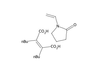 C=CN1CCCC1=O.CCCC/C(C(=O)O)=C(\CCCC)C(=O)O